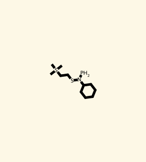 CS(C)(C)CCSN(P)C1CCCCC1